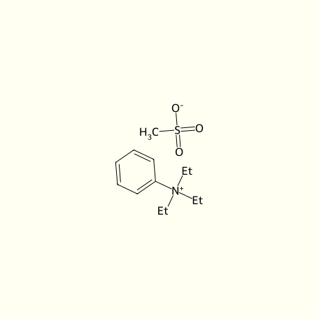 CC[N+](CC)(CC)c1ccccc1.CS(=O)(=O)[O-]